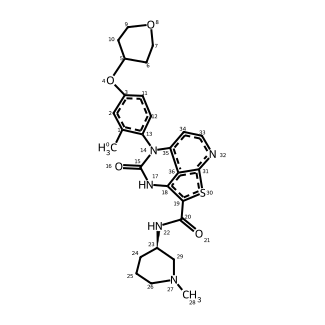 Cc1cc(OC2CCOCC2)ccc1N1C(=O)Nc2c(C(=O)N[C@@H]3CCCN(C)C3)sc3nccc1c23